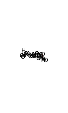 C=C(C(=O)[C@H](OC(C)=O)C1[C@@H](OC(C)=O)C[C@@]2(C)[C@@H]3CC[C@H]4[C@H](C)C(=O)C=C[C@@]45C[C@@]35CC[C@]12C)[C@@H](C)COC(=O)CN(CCCN(CCCCN(CCCNC(=O)OC(C)(C)C)C(=O)OC(C)(C)C)C(=O)OC(C)(C)C)C(=O)OC(C)(C)C